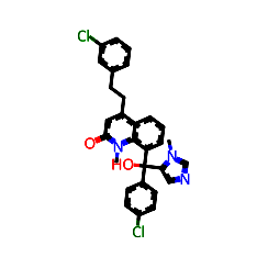 Cn1cncc1C(O)(c1ccc(Cl)cc1)c1cccc2c(CCc3cccc(Cl)c3)cc(=O)n(C)c12